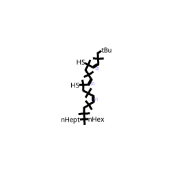 CCCCCCCC(C)(CCCCCC)C(C)(C)CC(C)(C)/C=C\C(C)(C)CC(C)(S)/C=C\C(C)(C)CC(C)(S)/C=C\C(C)(C)CC(C)(C)C